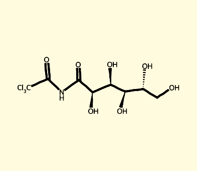 O=C(NC(=O)C(Cl)(Cl)Cl)[C@H](O)[C@@H](O)[C@H](O)[C@H](O)CO